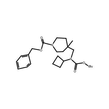 CC1(CN(C(=O)OC(C)(C)C)C2CCC2)CCN(C(=O)OCc2ccccc2)CC1